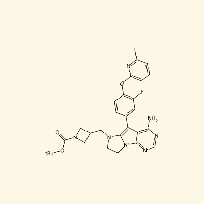 Cc1cccc(Oc2ccc(-c3c4n(c5ncnc(N)c35)CCN4CC3CN(C(=O)OC(C)(C)C)C3)cc2F)n1